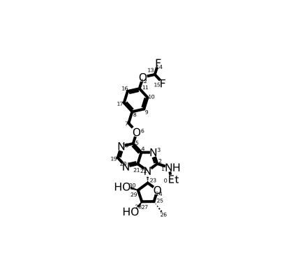 CCNc1nc2c(OCc3ccc(OC(F)F)cc3)ncnc2n1[C@@H]1O[C@H](C)[C@@H](O)[C@H]1O